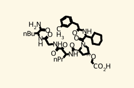 CCCCC(NC(=O)CNC(=O)C(=O)C(CCC)NC(=O)[C@@H]1C[C@@H](OCC(=O)O)CN1C(=O)C(NC(=O)Cc1cccc(C)c1)C1CCCCC1)C(N)=O